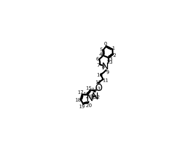 c1ccc2c(c1)CCN(CCCCOc1cc3ccccn3n1)C2